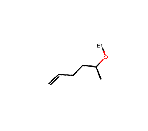 [CH2]COC(C)[CH]CC=C